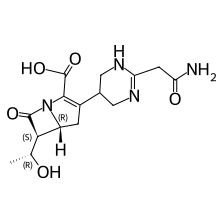 C[C@@H](O)[C@H]1C(=O)N2C(C(=O)O)=C(C3CN=C(CC(N)=O)NC3)C[C@H]12